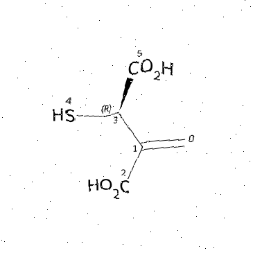 C=C(C(=O)O)[C@@H](S)C(=O)O